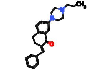 CCCN1CCN(c2ccc3c(c2)C(=O)/C(=C/c2ccccc2)CC3)CC1